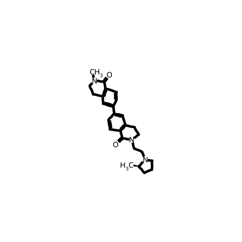 C[C@@H]1CCCN1CCN1CCc2cc(-c3ccc4c(c3)CCN(C)C4=O)ccc2C1=O